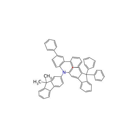 CC1(C)c2ccccc2-c2ccc(N(c3ccc4c(c3)-c3ccccc3C4(c3ccccc3)c3ccccc3)c3ccc(-c4ccccc4)cc3-c3ccccc3)cc21